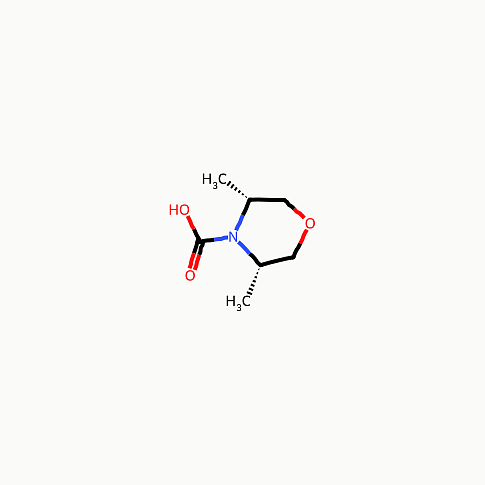 C[C@@H]1COC[C@H](C)N1C(=O)O